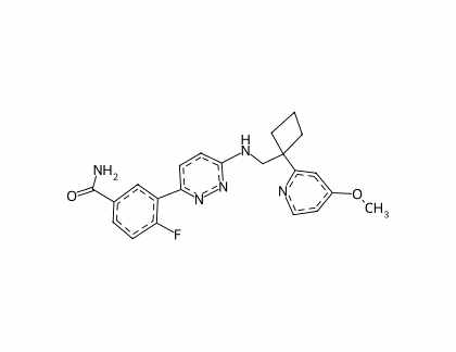 COc1ccnc(C2(CNc3ccc(-c4cc(C(N)=O)ccc4F)nn3)CCC2)c1